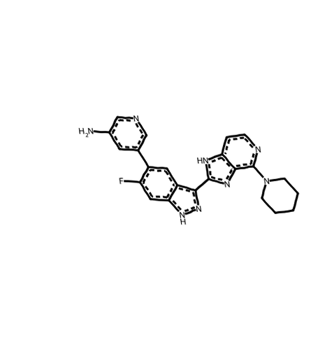 Nc1cncc(-c2cc3c(-c4nc5c(N6CCCCC6)nccc5[nH]4)n[nH]c3cc2F)c1